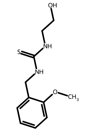 COc1ccccc1CNC(=S)NCCO